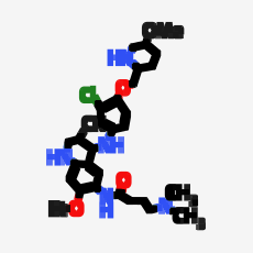 CCOc1cc2c(cc1NC(=O)CCCN(C)C)C(Nc1ccc(OCC3CCC(OC)CN3)c(Cl)c1)C(C#N)CN2